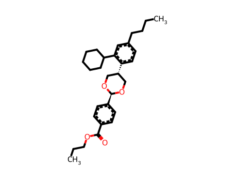 CCCCc1ccc([C@H]2CO[C@H](c3ccc(C(=O)OCCC)cc3)OC2)c(C2CCCCC2)c1